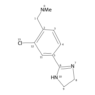 CNCc1ccc(C2=NCCN2)cc1Cl